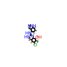 Oc1c(F)c(Cl)cc2c1N=C(Nc1cccc3[nH]ncc13)NS2